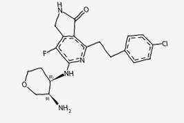 N[C@H]1COCC[C@H]1Nc1nc(CCc2ccc(Cl)cc2)c2c(c1F)CNC2=O